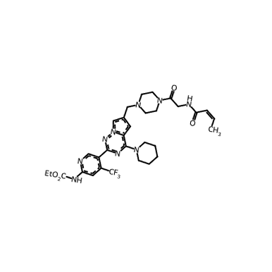 C/C=C\C(=O)NCC(=O)N1CCN(Cc2cc3c(N4CCCCC4)nc(-c4cnc(NC(=O)OCC)cc4C(F)(F)F)nn3c2)CC1